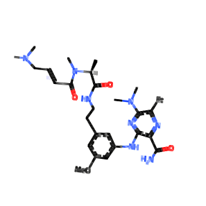 CCc1nc(C(N)=O)c(Nc2cc(CCNC(=O)[C@H](C)N(C)C(=O)/C=C/CN(C)C)cc(OC)c2)nc1N(C)C